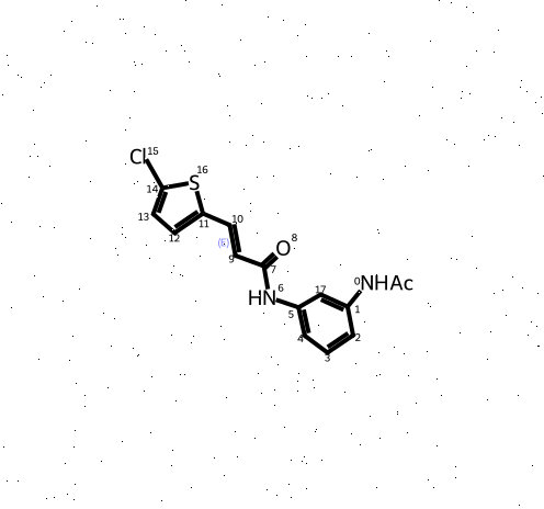 CC(=O)Nc1cccc(NC(=O)/C=C/c2ccc(Cl)s2)c1